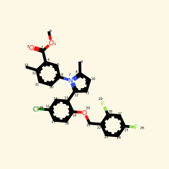 COC(=O)c1cc(-n2c(C)ccc2-c2cc(Cl)ccc2OCc2ccc(F)cc2F)ccc1C